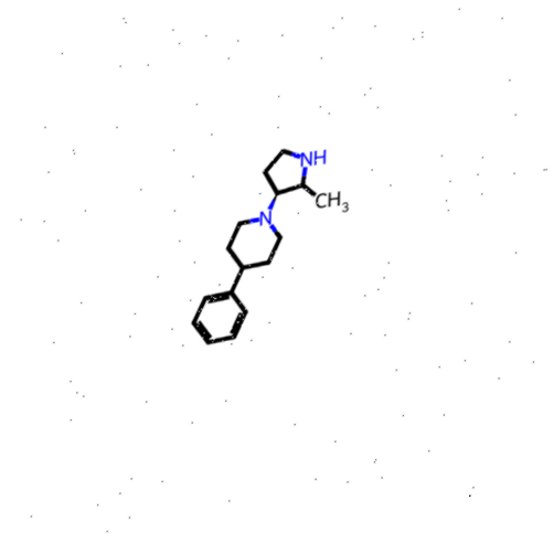 CC1NCC[C@@H]1N1CCC(c2ccccc2)CC1